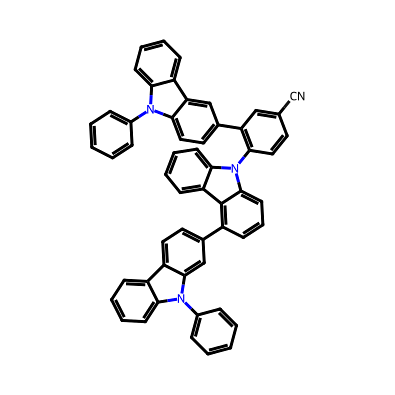 N#Cc1ccc(-n2c3ccccc3c3c(-c4ccc5c6ccccc6n(-c6ccccc6)c5c4)cccc32)c(-c2ccc3c(c2)c2ccccc2n3-c2ccccc2)c1